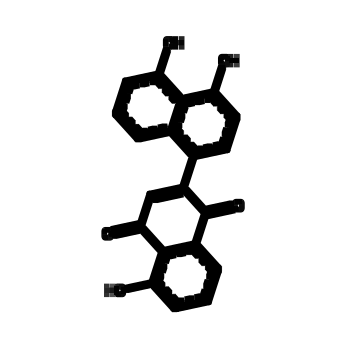 O=C1C(c2ccc(O)c3c(O)cccc23)=CC(=O)c2c(O)cccc21